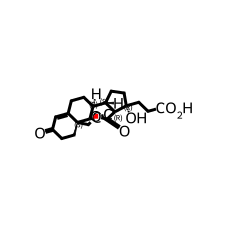 O=C(O)CC[C@]1(O)CC[C@H]2[C@@H]3CCC4=CC(=O)CC[C@@]45COC(=O)[C@]21CCC35